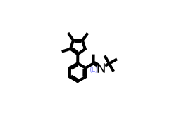 CC1=C(C)C(C)=C(c2ccccc2/C(C)=N/C(C)(C)C)C1